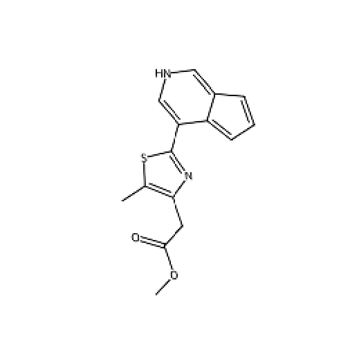 COC(=O)Cc1nc(-c2c[nH]cc3cccc2-3)sc1C